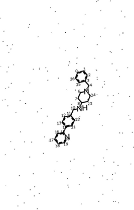 c1ccc(CN2CCC(NCc3ccc(-c4ccccn4)cc3)CC2)cc1